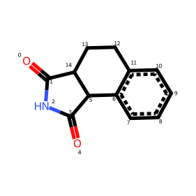 O=C1NC(=O)C2c3ccccc3CCC12